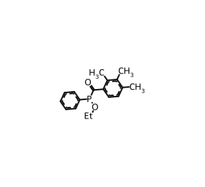 CCOP(C(=O)c1ccc(C)c(C)c1C)c1ccccc1